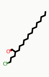 CCCCCCCCCCCCCCC(C=O)CCCCl